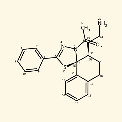 CC(=O)N1N=C(c2ccccc2)S[C@@]12c1ccccc1CC[C@@H]2CCN